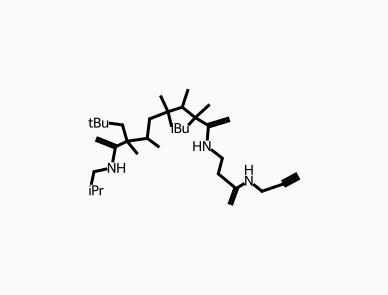 C#CCNC(=C)CCNC(=C)C(C)(C(C)CC)C(C)C(C)(C)CC(C)C(C)(CC(C)(C)C)C(=C)NCC(C)C